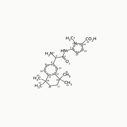 Cn1c(NC(=O)C(N)c2ccc3c(c2)C(C)(C)CCC3(C)C)ccc1C(=O)O